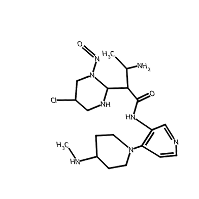 CNC1CCN(c2ccncc2NC(=O)C(C(C)N)C2NCC(Cl)CN2N=O)CC1